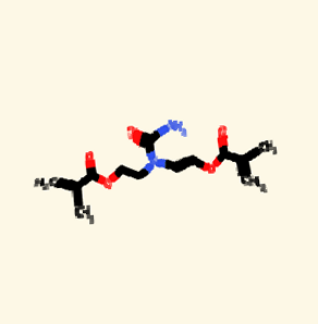 C=C(C)C(=O)OCCN(CCOC(=O)C(=C)C)C(N)=O